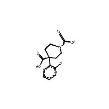 O=C(O)N1CCC(C(=O)O)(c2nccnc2Cl)CC1